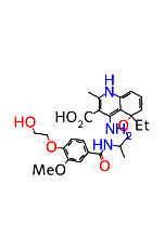 CCC1(OCC(C)NC(=O)c2ccc(OCCO)c(OC)c2)C=CC=C2NC(C)=C(C(=O)O)C(N)=C21